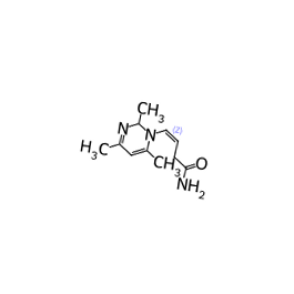 CC1=CC(C)=NC(C)N1/C=C\CC(N)=O